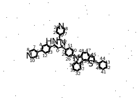 C1=C(c2ccc(-c3ccncc3)cc2)NC(c2ccncc2)N=C1c1ccc(-n2c3ccccc3c3c4sc(-c5ccccc5)cc4ccc32)cc1